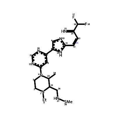 CCN1CCN(c2cc(-c3cnc(/C=C\C(=N)C(F)F)[nH]3)ncn2)C(C)C1CNSC